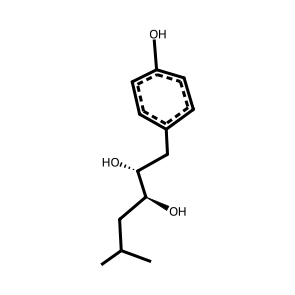 CC(C)C[C@H](O)[C@H](O)Cc1ccc(O)cc1